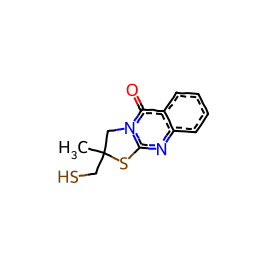 CC1(CS)Cn2c(nc3ccccc3c2=O)S1